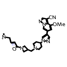 COc1cc(-c2cnn(C3CCN(CC4CN(C(=O)/C=C/CN(C)C)C4)CC3)c2)cn2ncc(C#N)c12